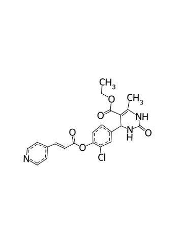 CCOC(=O)C1=C(C)NC(=O)NC1c1ccc(OC(=O)/C=C/c2ccncc2)c(Cl)c1